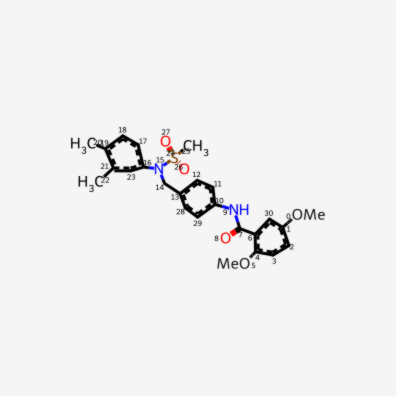 COc1ccc(OC)c(C(=O)Nc2ccc(CN(c3ccc(C)c(C)c3)S(C)(=O)=O)cc2)c1